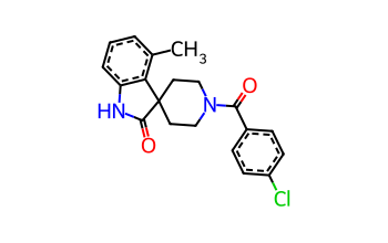 Cc1cccc2c1C1(CCN(C(=O)c3ccc(Cl)cc3)CC1)C(=O)N2